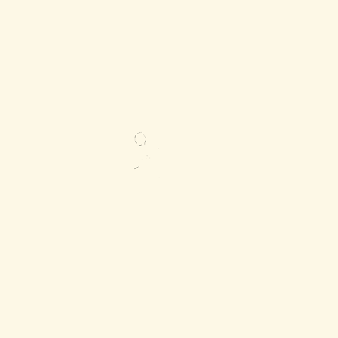 CCCCCCCCCCC(O)CN1CC(CCCCCCCCCC)OC(=O)C1Cc1ccccc1